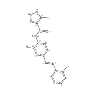 Cc1ccccc1N=Nc1ccc(NC(=O)c2ccnn2C)c(C)c1